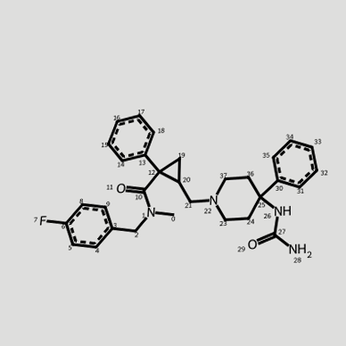 CN(Cc1ccc(F)cc1)C(=O)C1(c2ccccc2)CC1CN1CCC(NC(N)=O)(c2ccccc2)CC1